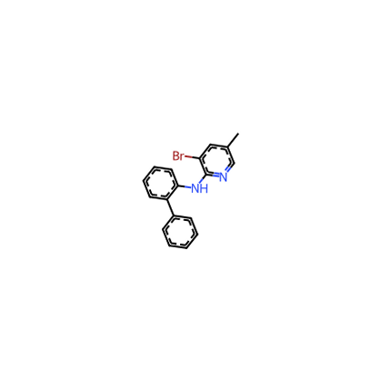 Cc1cnc(Nc2ccccc2-c2ccccc2)c(Br)c1